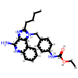 CCCCc1nc2c(N)nc3ccccc3c2n1Cc1ccc(NC(=O)OCC)cc1